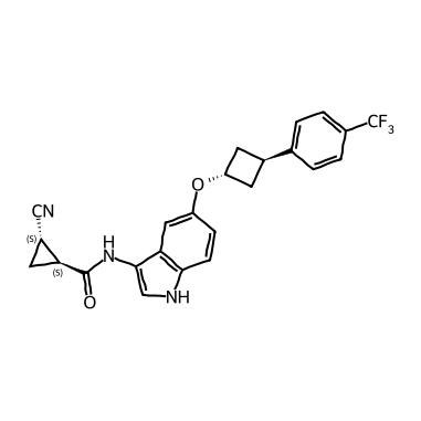 N#C[C@H]1C[C@@H]1C(=O)Nc1c[nH]c2ccc(O[C@H]3C[C@H](c4ccc(C(F)(F)F)cc4)C3)cc12